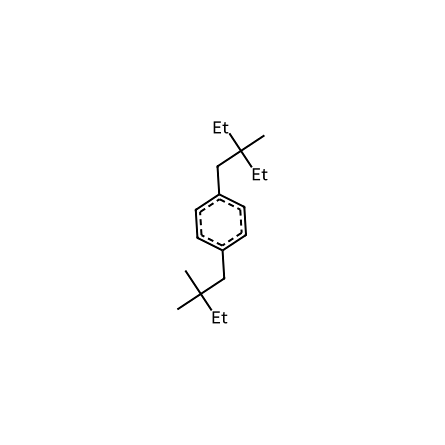 CCC(C)(C)Cc1ccc(CC(C)(CC)CC)cc1